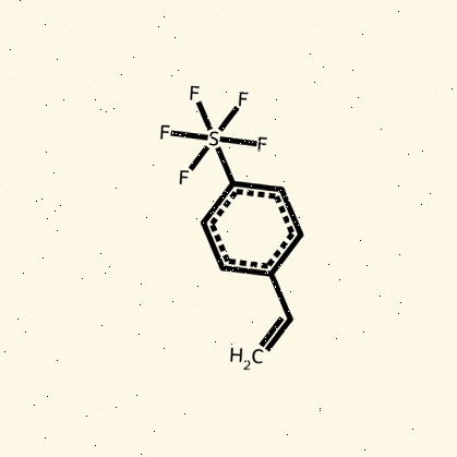 C=Cc1ccc(S(F)(F)(F)(F)F)cc1